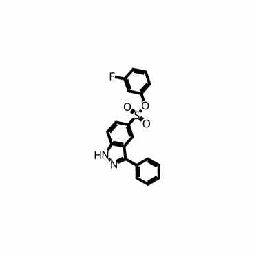 O=S(=O)(Oc1cccc(F)c1)c1ccc2[nH]nc(-c3ccccc3)c2c1